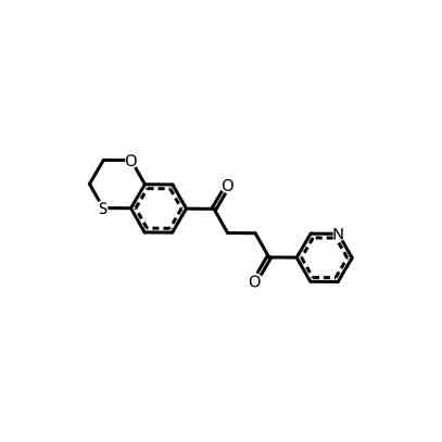 O=C(CCC(=O)c1ccc2c(c1)OCCS2)c1cccnc1